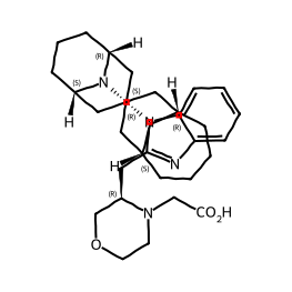 O=C(O)CN1CCOC[C@H]1Cc1nc2ccccc2n1[C@H]1C[C@H]2CCC[C@@H](C1)N2[C@@H]1C[C@@H]2CCCC[C@@H](C2)C1